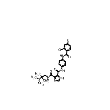 CN(C)C(C)(C)CNC(=O)c1nc[nH]c1C(=O)Nc1ccc(NC(=O)c2ccc(F)cc2Cl)cc1